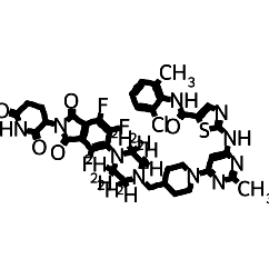 [2H]C1([2H])N(CC2CCN(c3cc(Nc4ncc(C(=O)Nc5c(C)cccc5Cl)s4)nc(C)n3)CC2)C([2H])([2H])C([2H])([2H])N(c2c(F)c(F)c3c(c2F)C(=O)N(C2CCC(=O)NC2=O)C3=O)C1([2H])[2H]